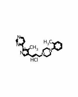 Cc1ccccc1N1CCN(C/C=C/c2cnn(-c3ccncn3)c2C)CC1.Cl